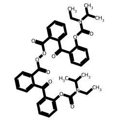 CCN(C(=O)Oc1ccccc1C(=O)c1ccccc1C(=O)OOC(=O)c1ccccc1C(=O)c1ccccc1OC(=O)N(CC)C(C)C)C(C)C